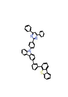 c1ccc(-c2cc(-c3ccccc3)nc(-c3ccc(-n4c5ccccc5c5cc(-c6cccc(-c7cccc8c7sc7ccccc78)c6)ccc54)cc3)n2)cc1